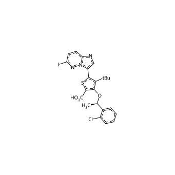 C[C@@H](Oc1c(C(=O)O)sc(-c2cnc3ccc(I)nn23)c1C(C)(C)C)c1ccccc1Cl